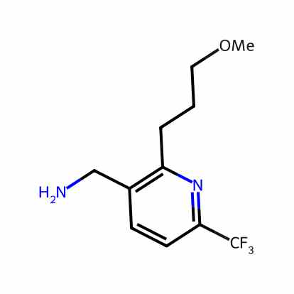 COCCCc1nc(C(F)(F)F)ccc1CN